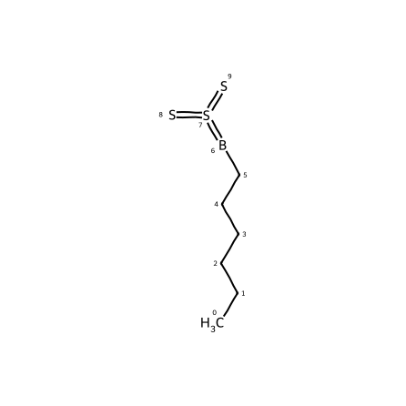 CCCCCCB=S(=S)=S